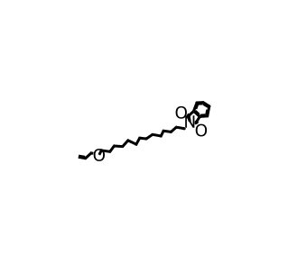 C=CCOCCCCCCCCCCCCCCN1C(=O)c2ccccc2C1=O